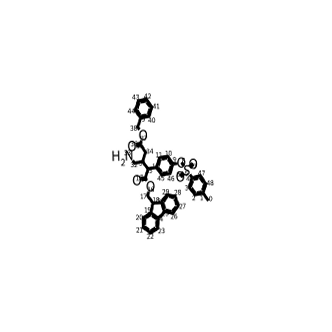 Cc1ccc(S(=O)(=O)Oc2ccc(C(C(=O)OCC3c4ccccc4-c4ccccc43)C(CN)CC(=O)OCc3ccccc3)cc2)cc1